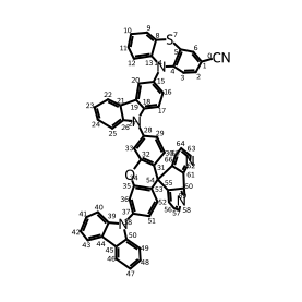 N#Cc1ccc2c(c1)Sc1ccccc1N2c1ccc2c(c1)c1ccccc1n2-c1ccc2c(c1)Oc1cc(-n3c4ccccc4c4ccccc43)ccc1C21c2cccnc2-c2ncccc21